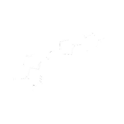 Cn1c(=O)ccc2c(NC(=O)C3CCN(c4ccc(Cl)nn4)CC3)cccc21